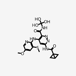 COc1cnc(Nc2cc(NC(=O)C34CC3C4)nnc2C(=O)NC(O)(O)O)c(SC)c1